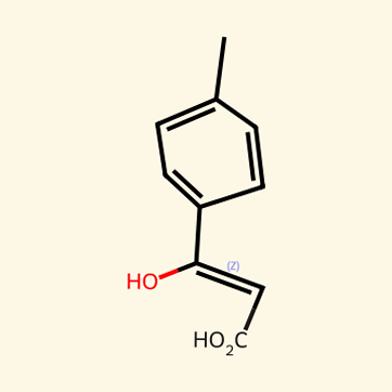 Cc1ccc(/C(O)=C/C(=O)O)cc1